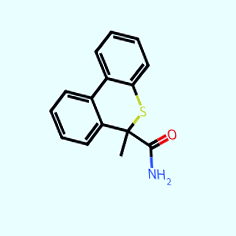 CC1(C(N)=O)Sc2ccccc2-c2ccccc21